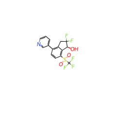 O=S(=O)(c1ccc(-c2cccnc2)c2c1[C@H](O)C(F)(F)C2)C(F)(F)F